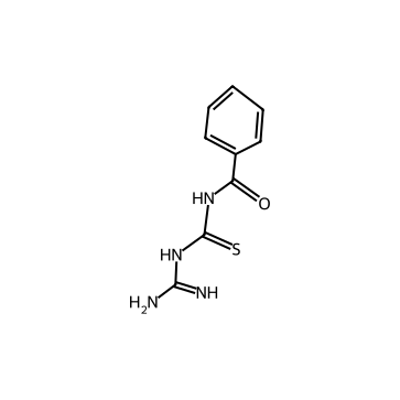 N=C(N)NC(=S)NC(=O)c1ccccc1